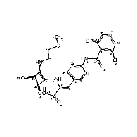 CSCCNc1c(N[C@@H](Cc2ccc(NC(=O)c3c(Cl)cncc3Cl)cc2)C(=O)O)c(=O)c1=O